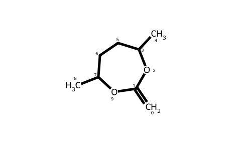 C=C1OC(C)CCC(C)O1